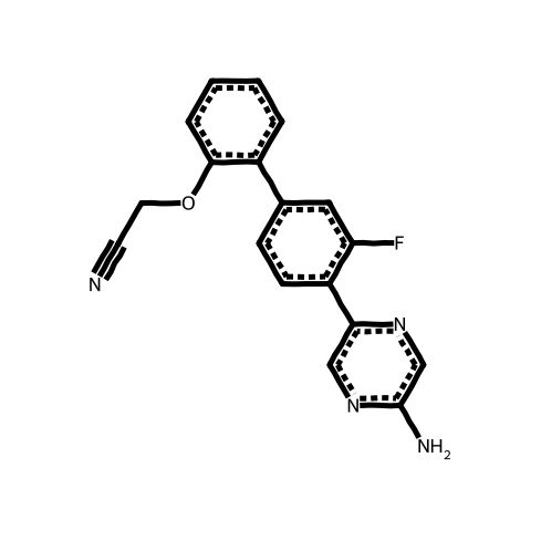 N#CCOc1ccccc1-c1ccc(-c2cnc(N)cn2)c(F)c1